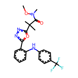 CON(C)C(=O)C(C)(C)c1nnc(-c2ccccc2Nc2ccc(C(F)(F)F)cc2)o1